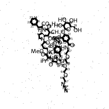 CCC(C)[C@@H]([C@@H](CC(=O)N1CCC[C@H]1[C@H](OC)[C@@H](C)C(=O)NC(Cc1ccccc1)C(=O)O)OC)N(C)C(=O)[C@@H](NC(=O)[C@H](C(C)C)[N+](C)(C)Cc1ccc(OS(=O)(=O)Oc2cc(C(=O)NCCOCCOCCOCCN=[N+]=[N-])ccc2OC2O[C@H](CO)[C@H](O)[C@H](O)[C@H]2O)cc1)C(C)C